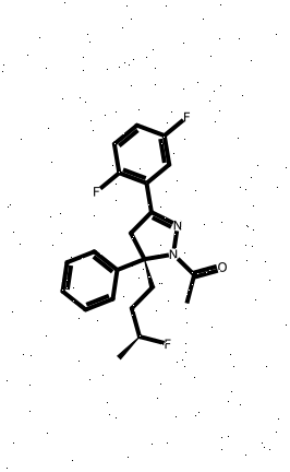 CC(=O)N1N=C(c2cc(F)ccc2F)C[C@@]1(CC[C@H](C)F)c1ccccc1